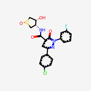 O=C(N[C@@H]1C[S+]([O-])C[C@@H]1O)c1cc(-c2ccc(Cl)cc2)nn(-c2cccc(F)c2)c1=O